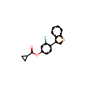 O=C(Oc1ccc(-c2csc3ccccc23)c(F)c1)C1CC1